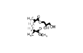 C=C(C)C(=O)OC.C=C(C)C(=O)OCC(O)CO